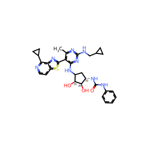 Cc1nc(NCC2CC2)nc(NC2C[C@H](NC(=O)Nc3ccccc3)[C@@H](O)[C@H]2O)c1-c1nc2c(C3CC3)nccc2s1